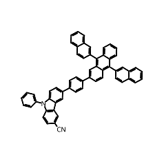 N#Cc1ccc2c(c1)c1cc(-c3ccc(-c4ccc5c(-c6ccc7ccccc7c6)c6ccccc6c(-c6ccc7ccccc7c6)c5c4)cc3)ccc1n2-c1ccccc1